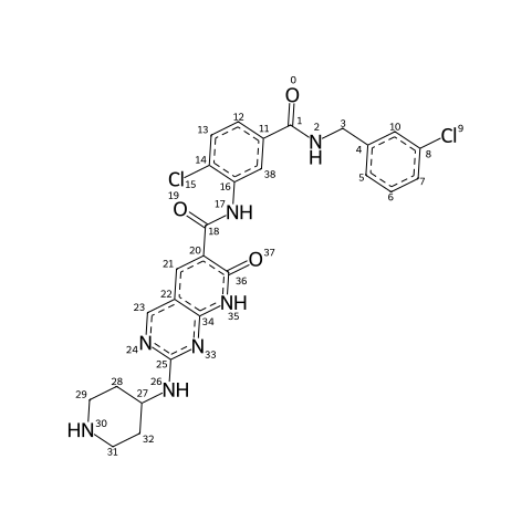 O=C(NCc1cccc(Cl)c1)c1ccc(Cl)c(NC(=O)c2cc3cnc(NC4CCNCC4)nc3[nH]c2=O)c1